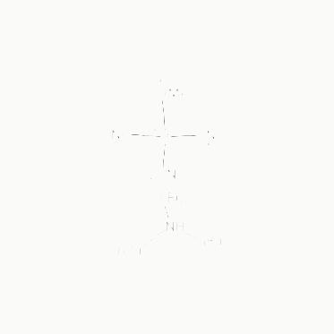 CCCC[NH+](CCCC)CCCC.CO[B-](C#N)(C#N)C#N